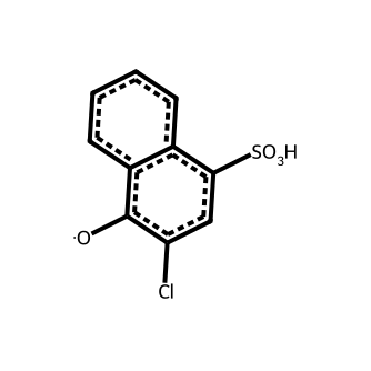 [O]c1c(Cl)cc(S(=O)(=O)O)c2ccccc12